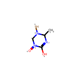 CC1N=C(O)[N+](=O)CN1S